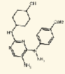 COc1ccc(N(N)c2nc(NC3CCC(O)CC3)ncc2N)cc1